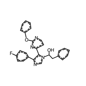 OC(Cc1ccccc1)n1cnc(-c2ccc(F)cc2)c1-c1ccnc(Oc2ccccc2)n1